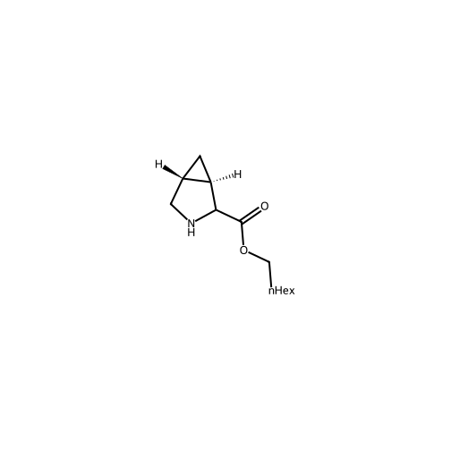 CCCCCCCOC(=O)C1NC[C@@H]2C[C@@H]12